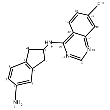 Nc1ccc2c(c1)CC(Nc1ncnc3cc(F)ccc13)C2